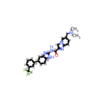 CN(C)Cc1ccc2nc(C(=O)Nc3nc4cc(-c5cccc(C(F)(F)F)c5)ccc4[nH]3)cn2c1